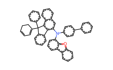 C1=CCCC(C2(c3ccccc3)c3ccccc3-c3c(N(c4ccc(-c5ccccc5)cc4)c4cccc5c4oc4ccccc45)cc4ccccc4c32)=C1